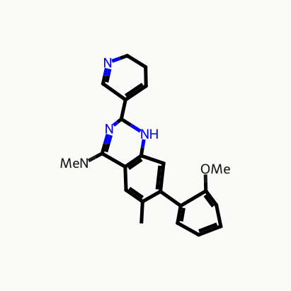 CNC1=NC(C2=CCCN=C2)Nc2cc(-c3ccccc3OC)c(C)cc21